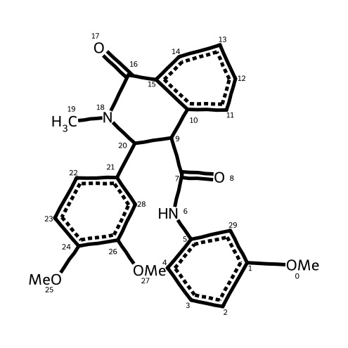 COc1cccc(NC(=O)C2c3ccccc3C(=O)N(C)C2c2ccc(OC)c(OC)c2)c1